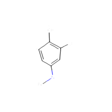 CCNc1ccc(C)c(C(F)(F)F)c1